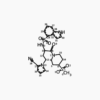 CS(=O)(=O)C1CCN(C(=O)C(CCn2cccc2C#N)NS(=O)(=O)c2cccc3[nH]ccc23)CC1